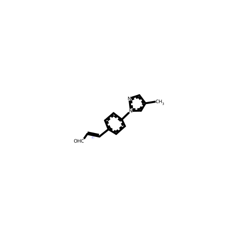 Cc1cnn(-c2ccc(/C=C/C=O)cc2)c1